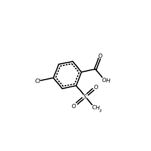 CS(=O)(=O)c1cc(Cl)ccc1C(=O)O